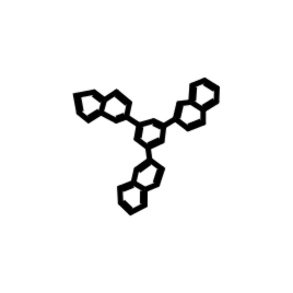 c1ccc2cc(-c3cc(-c4ccc5ccccc5c4)cc(-c4ccc5ccccc5c4)c3)ccc2c1